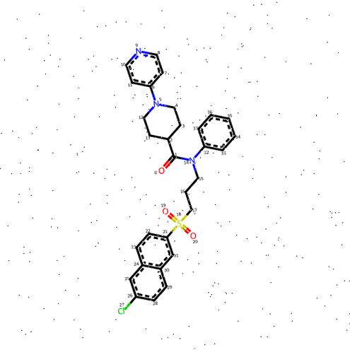 O=C(C1CCN(c2ccncc2)CC1)N(CCCS(=O)(=O)c1ccc2cc(Cl)ccc2c1)c1ccccc1